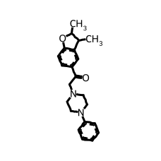 CC1Oc2ccc(C(=O)CN3CCN(c4ccccc4)CC3)cc2C1C